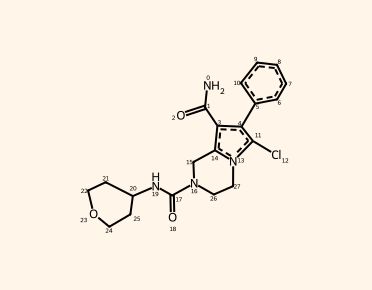 NC(=O)c1c(-c2ccccc2)c(Cl)n2c1CN(C(=O)NC1CCOCC1)CC2